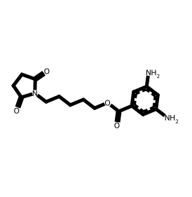 Nc1cc(N)cc(C(=O)OCCCCCN2C(=O)CCC2=O)c1